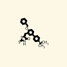 CN(C)c1ccc(-c2ccc(OCc3ccccc3)c(/C=C3/SC(=S)NC3=O)c2)cc1